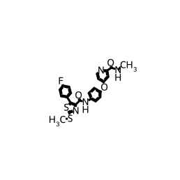 CNC(=O)c1cc(Oc2ccc(NC(=O)c3nc(SC)sc3-c3ccc(F)cc3)cc2)ccn1